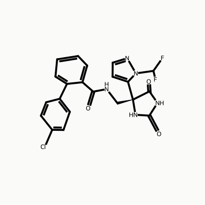 O=C1NC(=O)[C@@](CNC(=O)c2ccccc2-c2ccc(Cl)cc2)(c2ccnn2C(F)F)N1